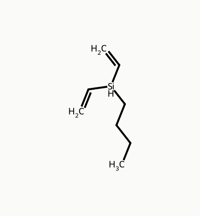 C=C[SiH](C=C)CCCC